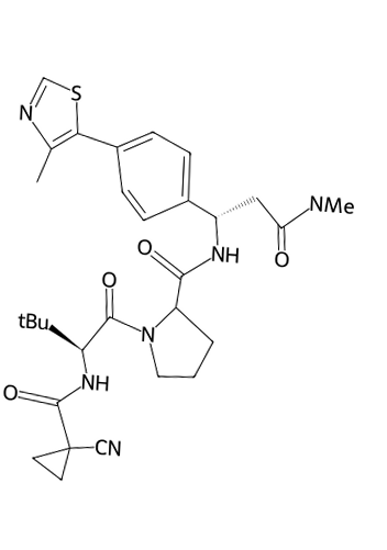 CNC(=O)C[C@H](NC(=O)C1CCCN1C(=O)[C@@H](NC(=O)C1(C#N)CC1)C(C)(C)C)c1ccc(-c2scnc2C)cc1